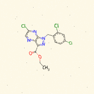 CCOC(=O)c1nn(Cc2ccc(Cl)cc2Cl)c2nc(Cl)cnc12